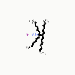 CCCCCCCC(CCCCCC)C(N)(CCCCCC)CCCCCC.I